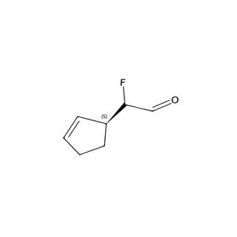 O=CC(F)[C@@H]1C=CCC1